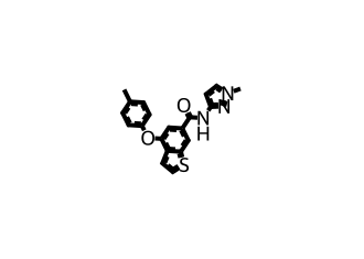 Cc1ccc(Oc2cc(C(=O)Nc3ccn(C)n3)cc3sccc23)cc1